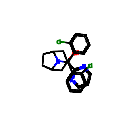 OC1(c2ncccn2)CC2CCC(C1)N2C(c1ccccc1Cl)c1ccccc1Cl